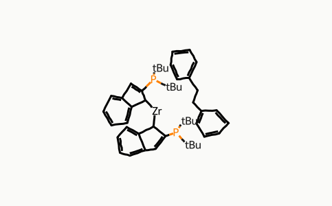 CC(C)(C)P(C1=Cc2ccccc2[CH]1[Zr][CH]1C(P(C(C)(C)C)C(C)(C)C)=Cc2ccccc21)C(C)(C)C.c1ccc(CCc2ccccc2)cc1